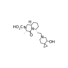 C[C@H]1C(=O)N2[C@@H](CCN3CCC4(CC4)C(O)C3)CCC[C@@H]2CN1C(=O)O